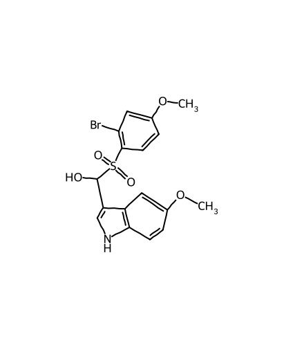 COc1ccc(S(=O)(=O)C(O)c2c[nH]c3ccc(OC)cc23)c(Br)c1